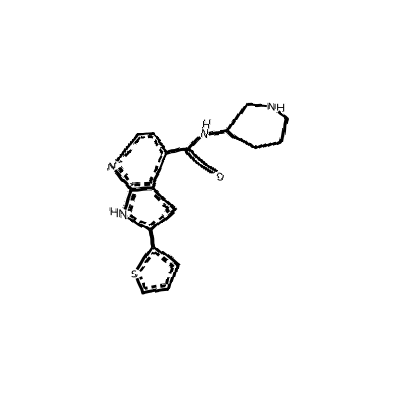 O=C(NC1CCCNC1)c1ccnc2[nH]c(-c3cccs3)cc12